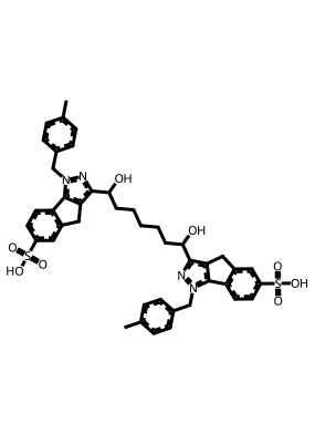 Cc1ccc(Cn2nc(C(O)CCCCCC(O)c3nn(Cc4ccc(C)cc4)c4c3Cc3cc(S(=O)(=O)O)ccc3-4)c3c2-c2ccc(S(=O)(=O)O)cc2C3)cc1